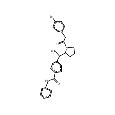 NC(c1ccc(C(=O)Nc2ccncc2)cc1)C1CCCN1C(=O)Cc1ccc(Br)cc1